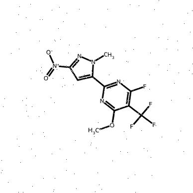 COc1nc(-c2cc([N+](=O)[O-])nn2C)nc(F)c1C(F)(F)F